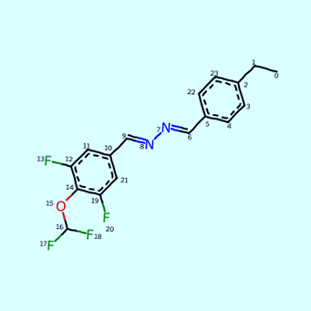 CCc1ccc(/C=N/N=C/c2cc(F)c(OC(F)F)c(F)c2)cc1